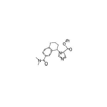 CC(C)OC(=O)c1cncn1C1CCCc2ccc(C(=O)N(C)C)cc21